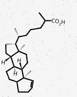 CC(CCC[C@@H](C)[C@H]1CC[C@H]2[C@@H]3CCC4CCC=C[C@]4(C)[C@H]3CC[C@]12C)C(=O)O